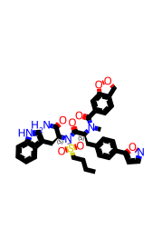 CCCCS(=O)(=O)N(C(=O)[C@H](Cc1ccc(-c2ccno2)cc1)N(C)C(=O)c1ccc2c(c1)OOC2)[C@@H](Cc1c[nH]c2ccccc12)C(N)=O